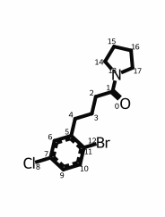 O=C(CCCc1cc(Cl)ccc1Br)N1CCCC1